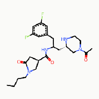 CCCCN1CC(C(=O)NC(Cc2cc(F)cc(F)c2)C[C@H]2CN(C(C)=O)CCN2)CC1=O